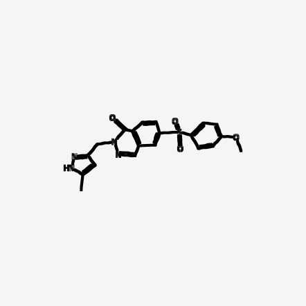 COc1ccc(S(=O)(=O)c2ccc3c(=O)n(Cc4cc(C)[nH]n4)ncc3c2)cc1